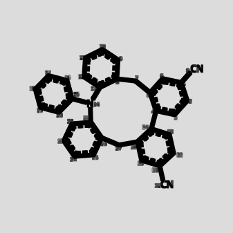 N#Cc1ccc2c(c1)Cc1ccccc1N(c1ccccc1)c1ccccc1Cc1cc(C#N)ccc1-2